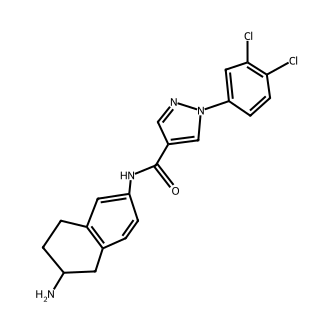 NC1CCc2cc(NC(=O)c3cnn(-c4ccc(Cl)c(Cl)c4)c3)ccc2C1